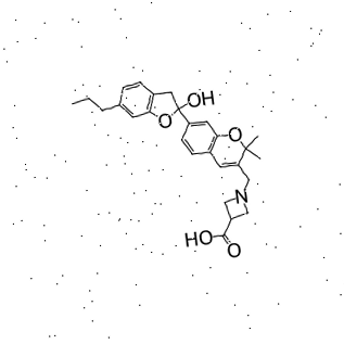 CCCc1ccc2c(c1)OC(O)(c1ccc3c(c1)OC(C)(C)C(CN1CC(C(=O)O)C1)=C3)C2